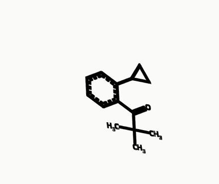 CC(C)(C)C(=O)c1ccccc1C1CC1